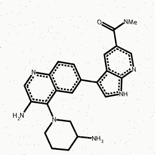 CNC(=O)c1cnc2[nH]cc(-c3ccc4ncc(N)c(N5CCCC(N)C5)c4c3)c2c1